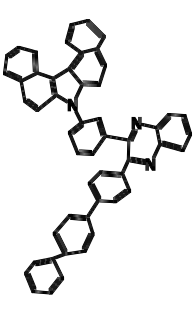 c1ccc(-c2ccc(-c3ccc(-c4nc5ccccc5nc4-c4cccc(-n5c6ccc7ccccc7c6c6c7ccccc7ccc65)c4)cc3)cc2)cc1